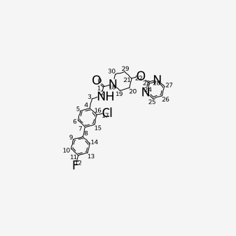 O=C(NCc1ccc(-c2ccc(F)cc2)cc1Cl)N1CCC(Oc2ncccn2)CC1